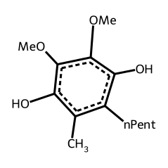 CCCCCc1c(C)c(O)c(OC)c(OC)c1O